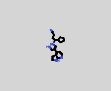 N#CCCC(N/C=C(\C=N)c1ccnc2[nH]ccc12)C1CCCC1